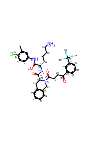 Cc1cc(NC(=O)[C@H](CCCCN)NC(=O)[C@@H]2Cc3ccccc3CN2C(=O)CCC(=O)c2cccc(C(F)(F)F)c2)ccc1Cl